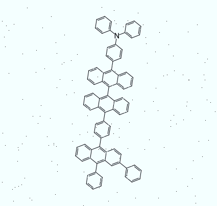 c1ccc(-c2ccc3c(-c4ccc(-c5c6ccccc6c(-c6c7ccccc7c(-c7ccc(N(c8ccccc8)c8ccccc8)cc7)c7ccccc67)c6ccccc56)cc4)c4ccccc4c(-c4ccccc4)c3c2)cc1